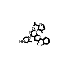 Cc1ccnc(C(C)C)c1-n1c(=O)nc(N2CCNCC2C)c2cc(Cl)c(-c3ccccc3F)nc21